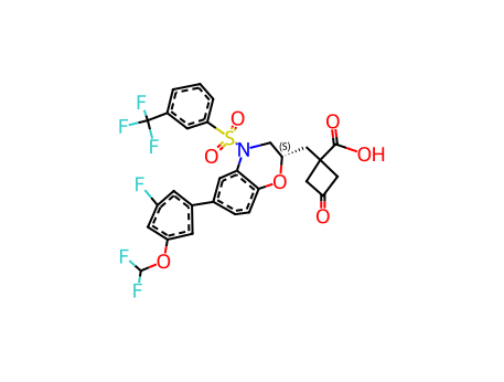 O=C1CC(C[C@H]2CN(S(=O)(=O)c3cccc(C(F)(F)F)c3)c3cc(-c4cc(F)cc(OC(F)F)c4)ccc3O2)(C(=O)O)C1